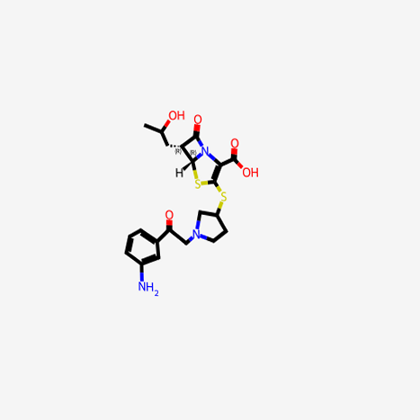 CC(O)C[C@@H]1C(=O)N2C(C(=O)O)=C(SC3CCN(CC(=O)c4cccc(N)c4)C3)S[C@H]12